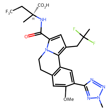 COc1cc2c(cc1-c1nnn(C)n1)-c1c(CC(C)(F)F)cc(C(=O)N[C@@](C)(CC(F)(F)F)C(=O)O)n1CC2